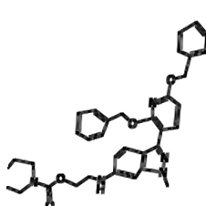 Cn1nc(-c2ccc(OCc3ccccc3)nc2OCc2ccccc2)c2ccc(NCCOC(=O)N3CCCCC3)cc21